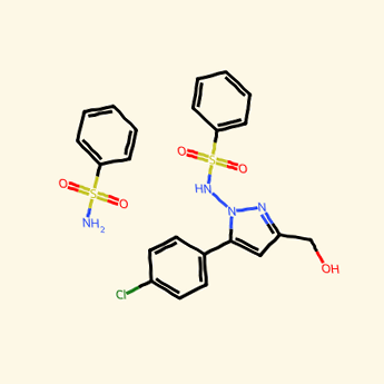 NS(=O)(=O)c1ccccc1.O=S(=O)(Nn1nc(CO)cc1-c1ccc(Cl)cc1)c1ccccc1